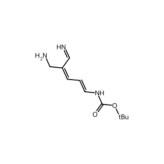 CC(C)(C)OC(=O)N/C=C/C=C(\C=N)CN